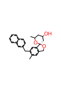 Cc1cc2c(cc1Cc1ccc3ccccc3c1)[C@]1(CC(O)CC(C)O1)OC2